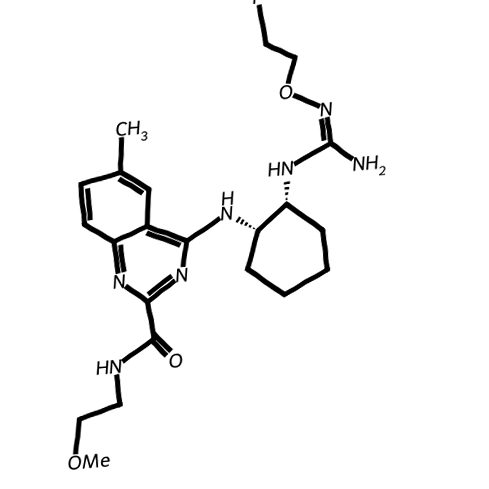 COCCNC(=O)c1nc(N[C@H]2CCCC[C@H]2N/C(N)=N\OCCF)c2cc(C)ccc2n1